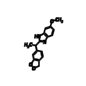 COc1ccc2nc(C(C)c3ccc4c(c3)OOC4)[nH]c2c1